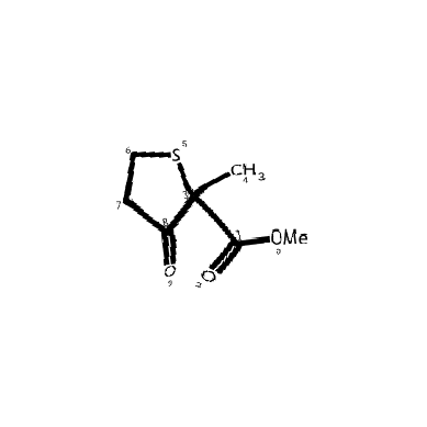 COC(=O)C1(C)SCCC1=O